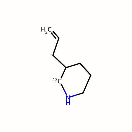 C=C[CH]C1CCCN[13CH2]1